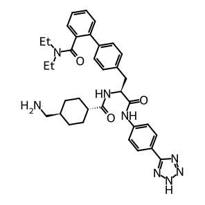 CCN(CC)C(=O)c1ccccc1-c1ccc(C[C@H](NC(=O)[C@H]2CC[C@H](CN)CC2)C(=O)Nc2ccc(-c3nn[nH]n3)cc2)cc1